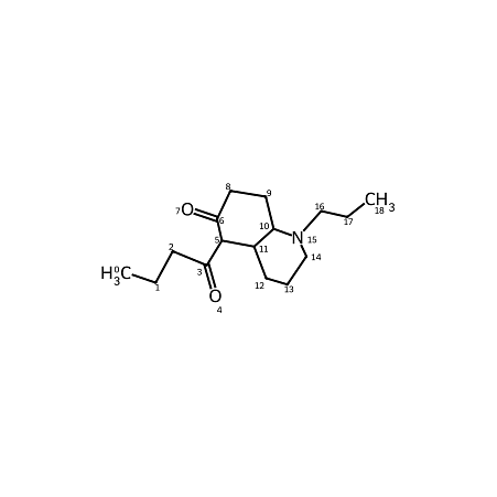 CCCC(=O)C1C(=O)CCC2C1CCCN2CCC